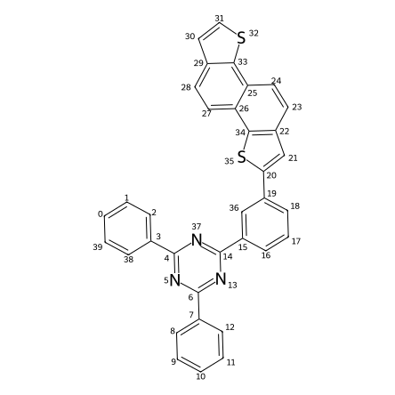 c1ccc(-c2nc(-c3ccccc3)nc(-c3cccc(-c4cc5ccc6c(ccc7ccsc76)c5s4)c3)n2)cc1